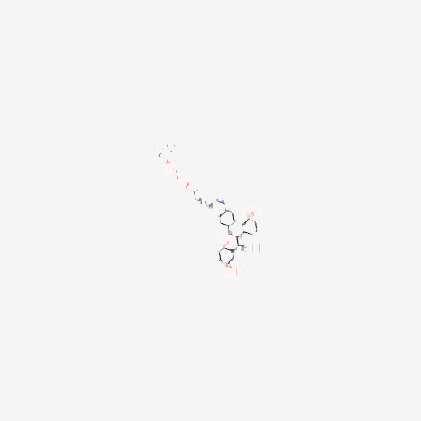 COCCOCCOCC[CH2][Au][CH2]/C=C\c1ccc(C2Oc3ccc(O)cc3C(C)=C2c2cccc(O)c2)cc1